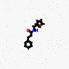 O=C([CH]Cc1ccccc1)NCc1cccs1